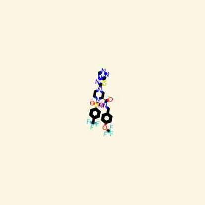 O=C(NCc1ccc(OC(F)(F)F)cc1)[C@H]1CN(c2nn3cnnc3s2)CCN1S(=O)(=O)c1ccc(C(F)(F)F)cc1